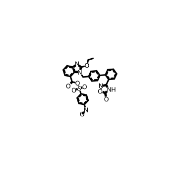 CCOc1nc2cccc(C(=O)OS(=O)(=O)c3ccc(N=O)cc3)c2n1Cc1ccc(-c2ccccc2-c2noc(=O)[nH]2)cc1